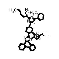 C=C(/C=C\C=C/C)c1nc(C2=CC=CC[C@H]2C)nc(C2C=Cc3c(c(C)c(/C=C\CC)n4c3nc3c5ccccc5c5ccccc5c34)C2)n1